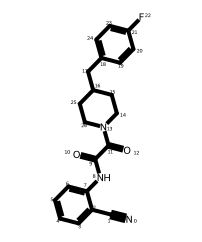 N#Cc1ccccc1NC(=O)C(=O)N1CCC(Cc2ccc(F)cc2)CC1